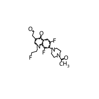 CC(=O)N1CCN(c2c(F)cc3c(=O)c(CC=O)cn(CCF)c3c2F)CC1